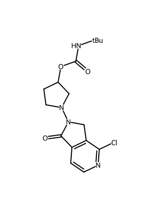 CC(C)(C)NC(=O)OC1CCN(N2Cc3c(ccnc3Cl)C2=O)C1